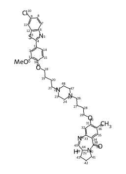 COc1cc(-c2nc3ccc(Cl)cc3s2)ccc1OCCCCN1CCN(CCCCOc2cc3c(cc2C)C(=O)N2CCC[C@H]2C=N3)CC1